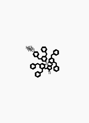 CC1=C([Si](c2cc(Cc3ccccc3)cc(Cc3ccccc3)c2)(c2cc(Cc3ccccc3)cc(Cc3ccccc3)c2)c2cc(Cc3ccccc3)cc(Cc3ccccc3)c2)C(C)=[C]([Ti])C1.Cl.Cl.Cl